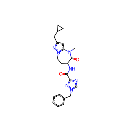 CN1C(=O)C(NC(=O)c2ncn(Cc3ccccc3)n2)CCn2nc(CC3CC3)cc21